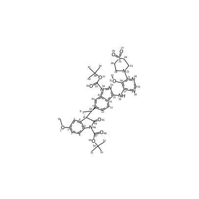 COc1ccc2c(c1)[C@]1(C[C@H]1c1ccc3c(Nc4ncnc(N5CCS(=O)(=O)CC5)c4OC)nn(C(=O)OC(C)(C)C)c3c1)C(=O)N2C(=O)OC(C)(C)C